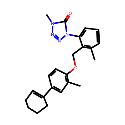 Cc1cc(C2=CCCCC2)ccc1OCc1c(C)cccc1-n1nnn(C)c1=O